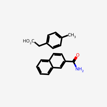 Cc1ccc(CC(=O)O)cc1.NC(=O)c1ccc2ccccc2c1